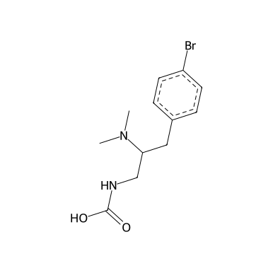 CN(C)C(CNC(=O)O)Cc1ccc(Br)cc1